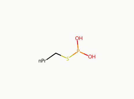 CCCCSP(O)O